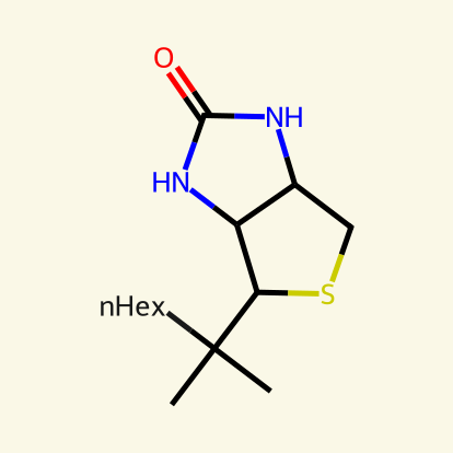 CCCCCCC(C)(C)C1SCC2NC(=O)NC21